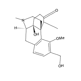 COc1c(CO)ccc2c1[C@]13CCN(C)[C@H](C2)[C@]1(O)CCC(=O)C3C